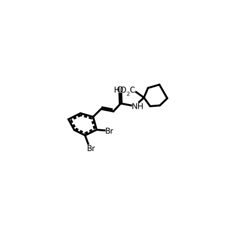 O=C(C=Cc1cccc(Br)c1Br)NC1(C(=O)O)CCCCC1